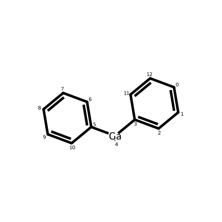 c1cc[c]([Ga][c]2ccccc2)cc1